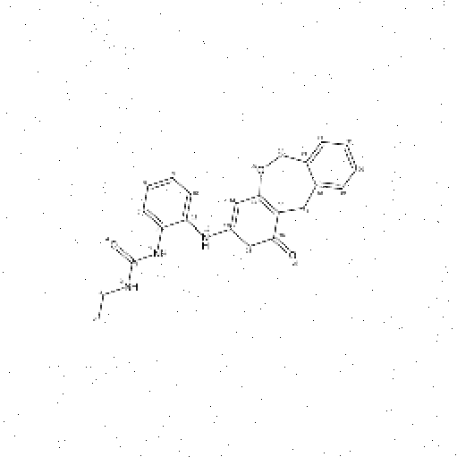 CCNC(=O)Nc1ccccc1NC1=CC2=C(Cc3ccccc3CO2)C(=O)C1